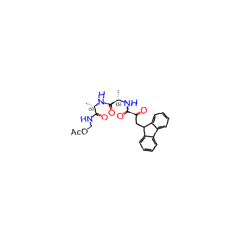 CC(=O)OCNC(=O)[C@H](C)NC(=O)[C@H](C)NC(=O)C(=O)CC1c2ccccc2-c2ccccc21